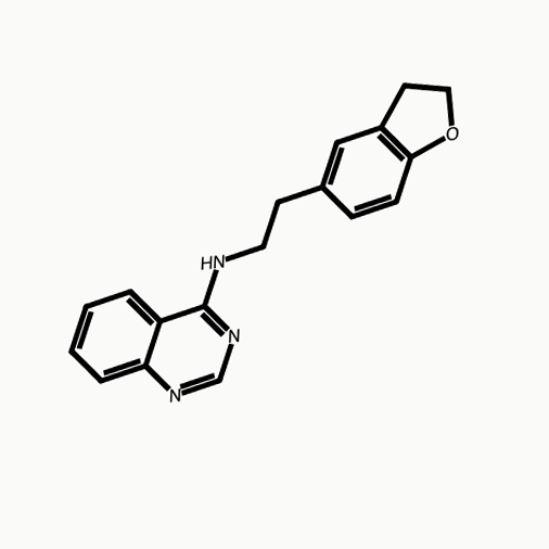 c1ccc2c(NCCc3ccc4c(c3)CCO4)ncnc2c1